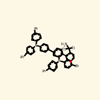 CCC(N)(CC)c1ccccc1-c1ccc(-c2ccc(N(c3ccc(C(C)C)cc3)c3ccc(C(C)C)cc3)cc2)cc1N(c1ccc(C(C)C)cc1)c1ccc(C(C)C)cc1